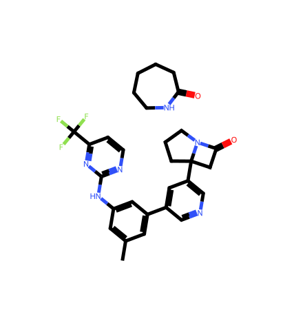 Cc1cc(Nc2nccc(C(F)(F)F)n2)cc(-c2cncc(C34CCCN3C(=O)C4)c2)c1.O=C1CCCCCN1